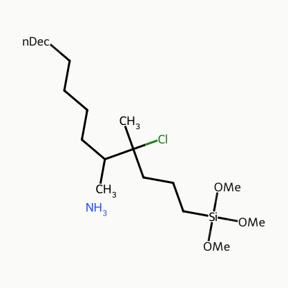 CCCCCCCCCCCCCCC(C)C(C)(Cl)CCC[Si](OC)(OC)OC.N